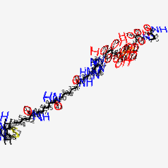 NC(=O)c1ccc[n+]([C@@H]2O[C@H](COP(=O)([O-])OP(=O)(O)OC[C@H]3O[C@@H](n4cnc5c(NCCNC(=O)CCCCCNC(=O)CCCCCNC(=O)CCCC[C@@H]6SC[C@@H]7NC(=O)N[C@@H]76)ncnc54)[C@H](O)[C@@H]3O)[C@@H](O)[C@H]2O)c1